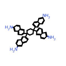 Nc1ccc2cc(C3(c4ccc5cc(N)ccc5c4)CCC(c4ccc5cc(N)ccc5c4)(c4ccc5cc(N)ccc5c4)CC3)ccc2c1